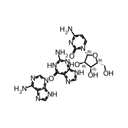 Nc1ccn([C@@H]2O[C@H](CO)[C@@H](O)[C@H]2O)c(=O)n1.Nc1nc2[nH]cnc2c(=O)[nH]1.Nc1ncnc2[nH]cnc12